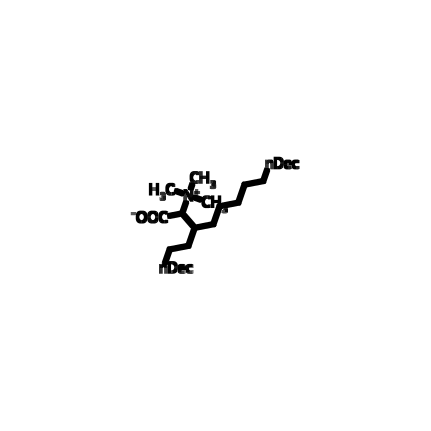 CCCCCCCCCCCCCCCC(CCCCCCCCCCCC)C(C(=O)[O-])[N+](C)(C)C